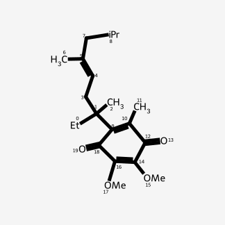 CCC(C)(C/C=C(\C)CC(C)C)C1=C(C)C(=O)C(OC)=C(OC)C1=O